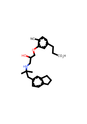 CC(C)(Cc1ccc2c(c1)CCC2)NCC(O)COc1cc(CCC(=O)O)ccc1C#N